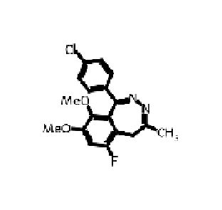 COc1cc(F)c2c(c1OC)C(c1ccc(Cl)cc1)=NN=C(C)C2